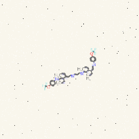 C\C=C/C(=C/C=N/c1ccc(OC(F)(F)F)cc1)C(/C=C\C)=C/C=N/CCC/N=C/C=C(\C=C/C)C(/C=C\C)=C/C=N/c1ccc(OC(F)(F)F)cc1